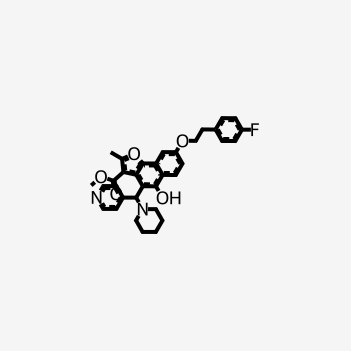 COC(=O)c1c(C)oc2c1c(C(c1ccncc1)N1CCCCC1)c(O)c1ccc(OCCc3ccc(F)cc3)cc12